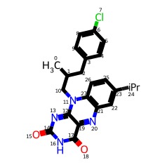 CC(Cc1ccc(Cl)cc1)Cn1c2nc(=O)[nH]c(=O)c-2nc2cc(C(C)C)ccc21